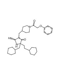 N=C1NC(CCC2CCCCC2)(CC2CCCCC2)C(=O)N1CC1CCN(C(=O)COc2ccccc2)CC1